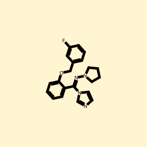 Fc1cccc(COc2ccccc2C(=NN2CCCC2)n2ccnc2)c1